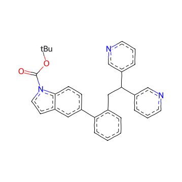 CC(C)(C)OC(=O)n1ccc2cc(-c3ccccc3CC(c3cccnc3)c3cccnc3)ccc21